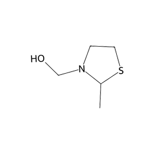 CC1SCCN1CO